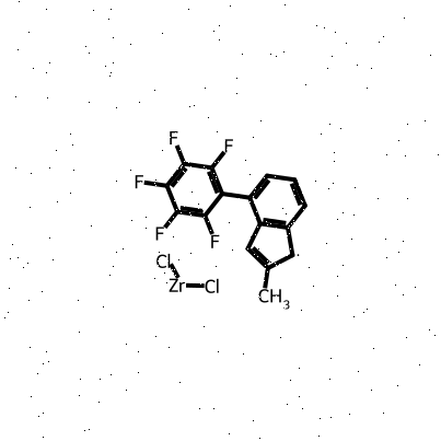 CC1=Cc2c(cccc2-c2c(F)c(F)c(F)c(F)c2F)[CH]1.[Cl][Zr][Cl]